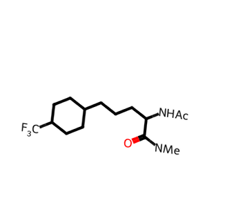 CNC(=O)C(CCCC1CCC(C(F)(F)F)CC1)NC(C)=O